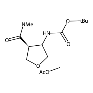 CNC(=O)[C@@H]1COCC1NC(=O)OC(C)(C)C.COC(C)=O